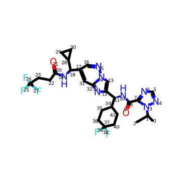 CC(C)n1ncnc1C(=O)N[C@H](c1cn2ncc(C(NC(=O)CCC(F)(F)F)C3CC3)cc2n1)C1CCC(F)(F)CC1